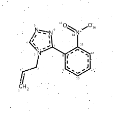 C=CCn1cnnc1-c1ccccc1[N+](=O)[O-]